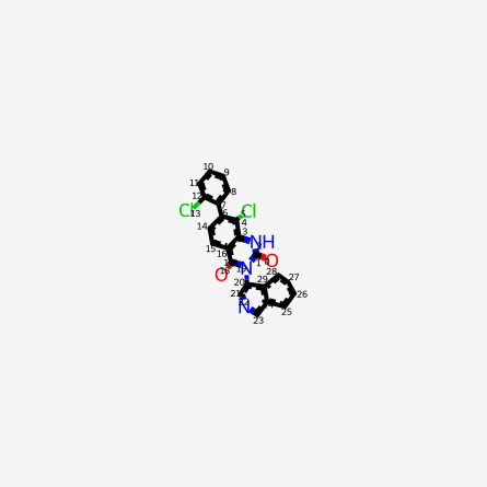 O=c1[nH]c2c(Cl)c(-c3ccccc3Cl)ccc2c(=O)n1-c1cncc2ccccc12